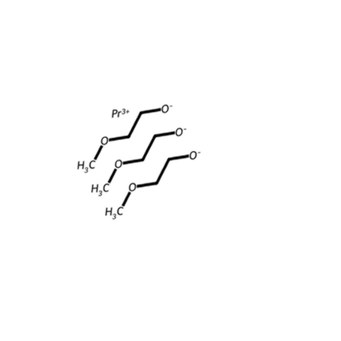 COCC[O-].COCC[O-].COCC[O-].[Pr+3]